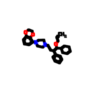 C=CCOC(C1CCCCC1)C(CCN1CCN(c2cccc3c2OCCO3)CC1)c1ccccc1